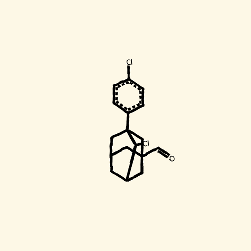 O=CC12CC3CC(C1)C(Cl)C(c1ccc(Cl)cc1)(C3)C2